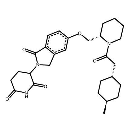 C[C@H]1CC[C@H](CC(=O)N2CCCC[C@H]2COc2ccc3c(c2)CN(C2CCC(=O)NC2=O)C3=O)CC1